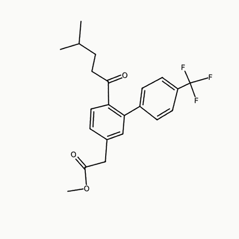 COC(=O)Cc1ccc(C(=O)CCC(C)C)c(-c2ccc(C(F)(F)F)cc2)c1